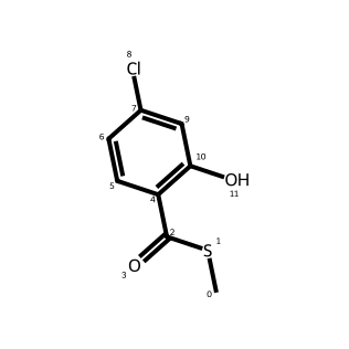 CSC(=O)c1ccc(Cl)cc1O